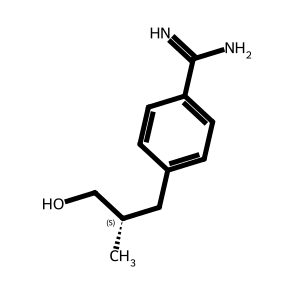 C[C@H](CO)Cc1ccc(C(=N)N)cc1